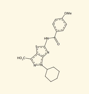 COc1ccc(C(=O)Nc2nc3c(s2)c(C(=O)O)nn3C2CCCCC2)cc1